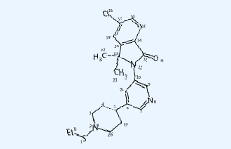 CCSN1CCC(c2cncc(N3C(=O)c4ccc(Cl)cc4C3(C)C)c2)CC1